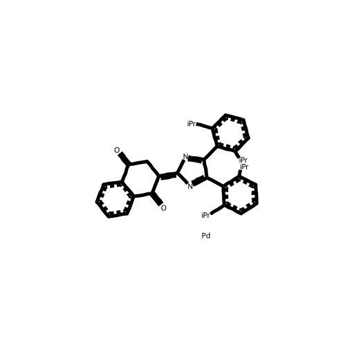 CC(C)c1cccc(C(C)C)c1C1=NC(=C2CC(=O)c3ccccc3C2=O)N=C1c1c(C(C)C)cccc1C(C)C.[Pd]